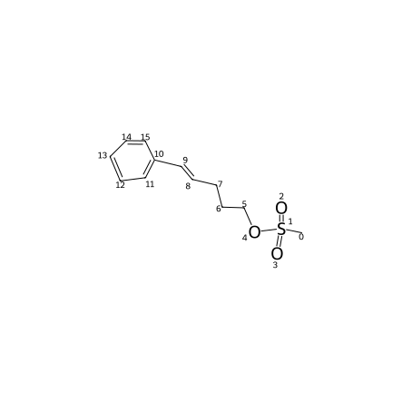 CS(=O)(=O)OCCC/C=C/c1ccccc1